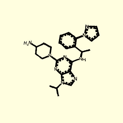 CC(Nc1nc(N2CCC(N)CC2)nc2c1ncn2C(C)C)c1ccccc1-n1cccn1